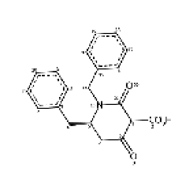 O=C(O)C1C(=O)C[C@@H](Cc2ccccc2)N(Cc2ccccc2)C1=O